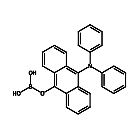 OB(O)Oc1c2ccccc2c(N(c2ccccc2)c2ccccc2)c2ccccc12